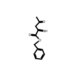 CC(=O)CC(=N)C(=O)OCc1ccccc1